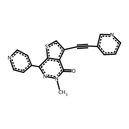 Cn1nc(-c2ccncc2)c2scc(C#Cc3cccnc3)c2c1=O